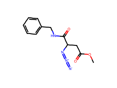 COC(=O)CC(N=[N+]=[N-])C(=O)NCc1ccccc1